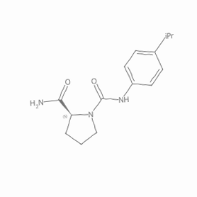 CC(C)c1ccc(NC(=O)N2CCC[C@H]2C(N)=O)cc1